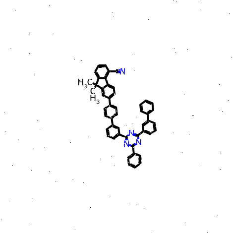 CC1(C)c2cc(-c3ccc(-c4cccc(-c5nc(-c6ccccc6)nc(-c6cccc(-c7ccccc7)c6)n5)c4)cc3)ccc2-c2c(C#N)cccc21